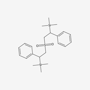 C[Si](C)(C)C(CS(=O)(=O)CC(c1ccccc1)[Si](C)(C)C)c1ccccc1